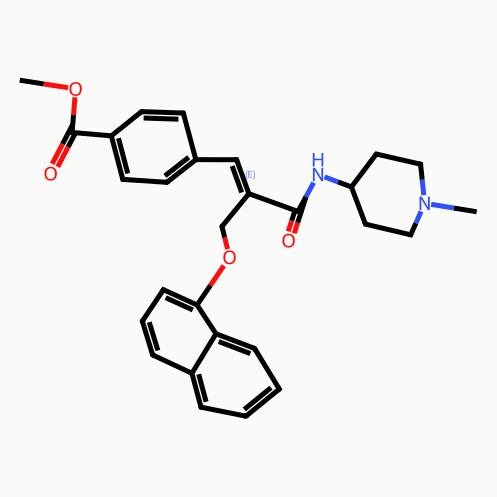 COC(=O)c1ccc(/C=C(\COc2cccc3ccccc23)C(=O)NC2CCN(C)CC2)cc1